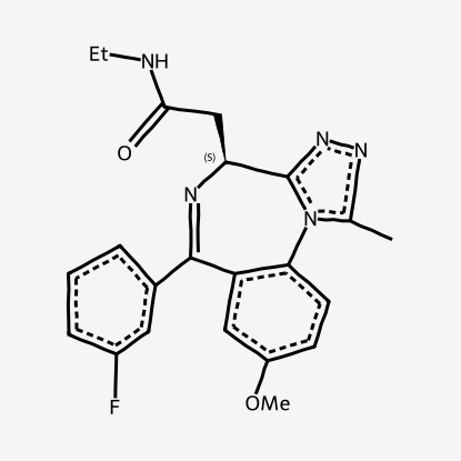 CCNC(=O)C[C@@H]1N=C(c2cccc(F)c2)c2cc(OC)ccc2-n2c(C)nnc21